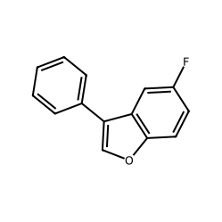 Fc1ccc2occ(-c3ccccc3)c2c1